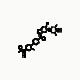 CC(=O)Nc1ccc(-c2ccc(C(=O)n3ccc4cc(F)c(N5CC(C)NC(C)C5)cc43)cc2)c(C)c1